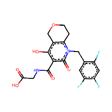 O=C(O)CNC(=O)c1c(O)c2c(n(Cc3cc(F)c(F)cc3F)c1=O)CCOC2